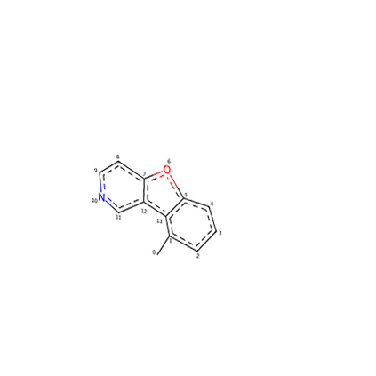 Cc1cccc2oc3ccncc3c12